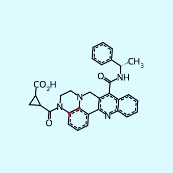 C[C@H](NC(=O)c1c(CN2CCN(C(=O)C3CC3C(=O)O)CC2)c(-c2ccccc2)nc2ccccc12)c1ccccc1